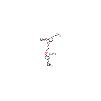 C=CCc1ccc(OCCCCCOc2ccc(CC=C)cc2OC)c(OC)c1